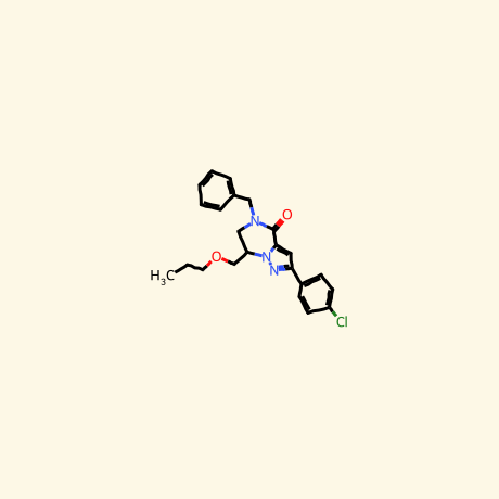 CCCOCC1CN(Cc2ccccc2)C(=O)c2cc(-c3ccc(Cl)cc3)nn21